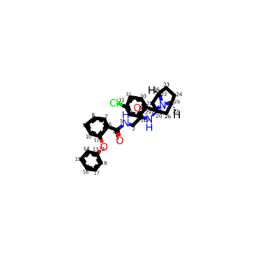 O=C(CNC(=O)c1ccccc1Oc1ccccc1)N[C@H]1C[C@H]2CC[C@@H](C1)N2Cc1ccc(Cl)cc1